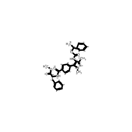 COC(=O)[C@@H](Cc1ccccc1)NC(=O)c1ccc(-c2c(NC(=O)OC(C)c3ccccc3)c(C)nn2C)cc1